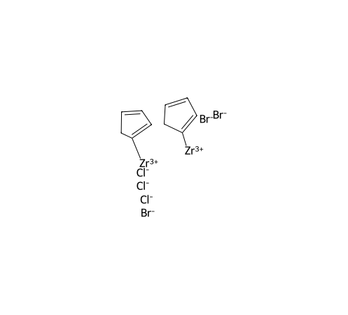 [Br-].[Br-].[Br-].[Cl-].[Cl-].[Cl-].[Zr+3][C]1=CC=CC1.[Zr+3][C]1=CC=CC1